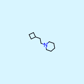 C1CCN(CCC2CCC2)CC1